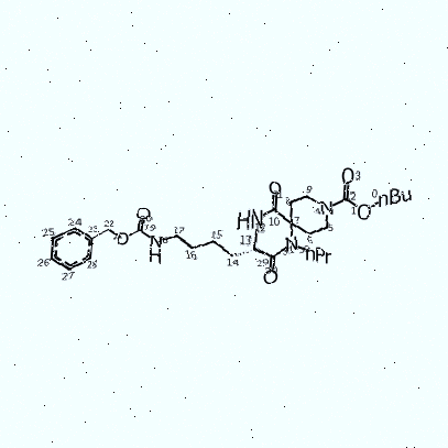 CCCCOC(=O)N1CCC2(CC1)C(=O)N[C@@H](CCCCNC(=O)OCc1ccccc1)C(=O)N2CCC